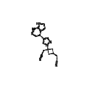 N#CCC1CC(CC#N)(n2cc(-c3cnnc4[nH]ccc34)cn2)C1